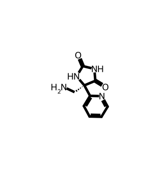 NC[C@]1(c2ccccn2)NC(=O)NC1=O